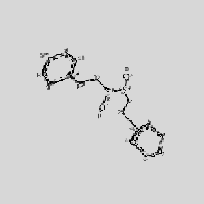 [O-][S+](CCc1ccccc1)[S+]([O-])CCc1ccccc1